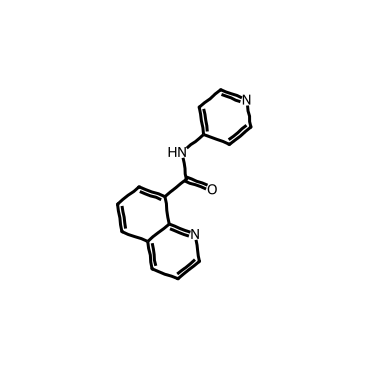 O=C(Nc1ccncc1)c1cccc2cccnc12